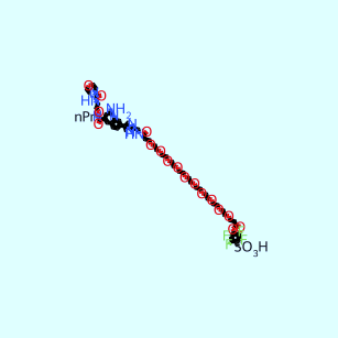 CCCN(OCCNC(=O)N1CCOCC1)C(=O)C1=Cc2ccc(-c3cnc(CNC(=O)CCOCCOCCOCCOCCOCCOCCOCCOCCOCCOCCC(=O)Oc4c(F)c(F)c(S(=O)(=O)O)c(F)c4F)nc3)cc2N=C(N)C1